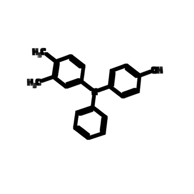 Cc1ccc(N(c2ccccc2)c2ccc(O)cc2)cc1C